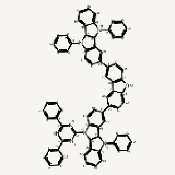 c1ccc(-c2nc(-c3ccccc3)nc(N3c4ccc(-c5ccc6oc7ccc(-c8ccc9c(c8)C8C(c%10ccccc%10N8c8ccccc8)N9c8ccccc8)cc7c6c5)cc4C4C3c3ccccc3N4c3ccccc3)n2)cc1